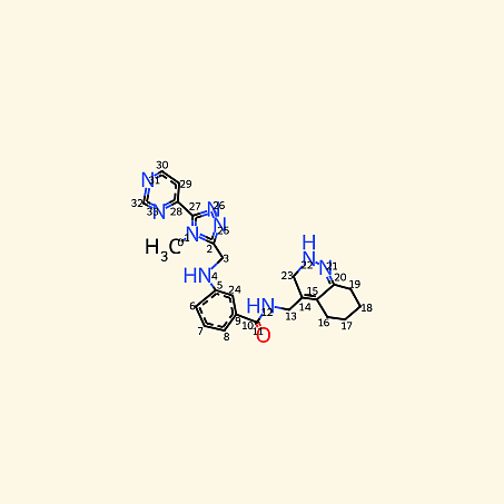 Cn1c(CNc2cccc(C(=O)NCC3=C4CCCCC4=NNC3)c2)nnc1-c1ccncn1